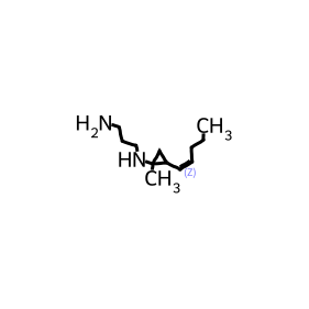 CCC/C=C\C1CC1(C)NCCCN